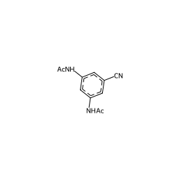 CC(=O)Nc1cc(C#N)cc(NC(C)=O)c1